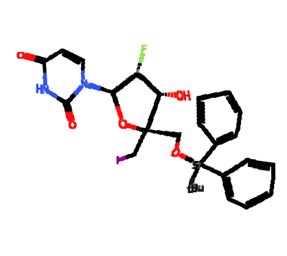 CC(C)(C)[Si](OC[C@@]1(CI)O[C@@H](n2ccc(=O)[nH]c2=O)[C@H](F)[C@@H]1O)(c1ccccc1)c1ccccc1